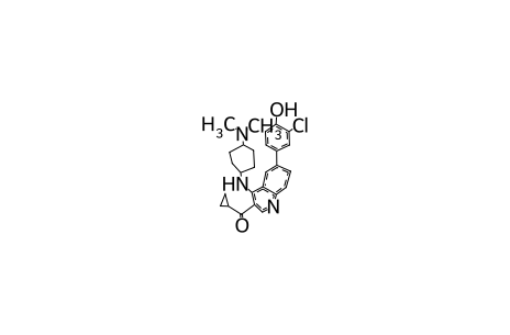 CN(C)C1CCC(Nc2c(C(=O)C3CC3)cnc3ccc(-c4ccc(O)c(Cl)c4)cc23)CC1